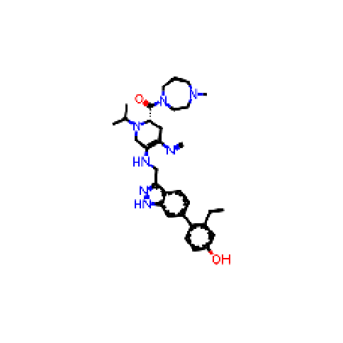 C=NC1=C(NCc2n[nH]c3cc(-c4ccc(O)cc4CC)ccc23)CN(C(C)C)[C@H](C(=O)N2CCCN(C)CC2)C1